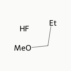 CCCOC.F